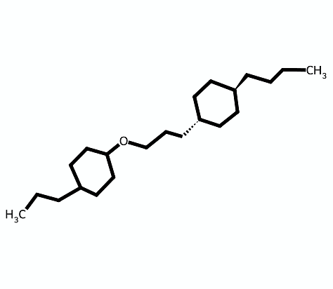 CCCC[C@H]1CC[C@H](CCCOC2CCC(CCC)CC2)CC1